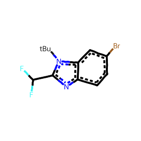 CC(C)(C)n1c(C(F)F)nc2ccc(Br)cc21